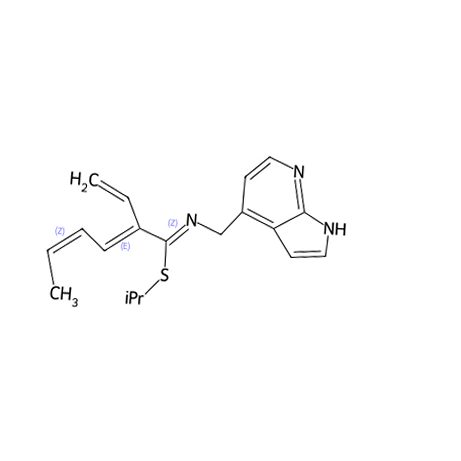 C=CC(=C\C=C/C)/C(=N/Cc1ccnc2[nH]ccc12)SC(C)C